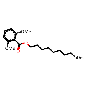 CCCCCCCCCCCCCCCCCCOC(=O)c1c(OC)cccc1OC